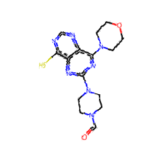 O=CN1CCN(c2nc(N3CCOCC3)c3ncnc(S)c3n2)CC1